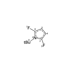 CC(C)(C)n1c(F)ccc1F